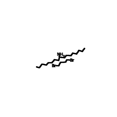 BrCCCCBr.CCCCCCCCC(N)CCCCCCCC